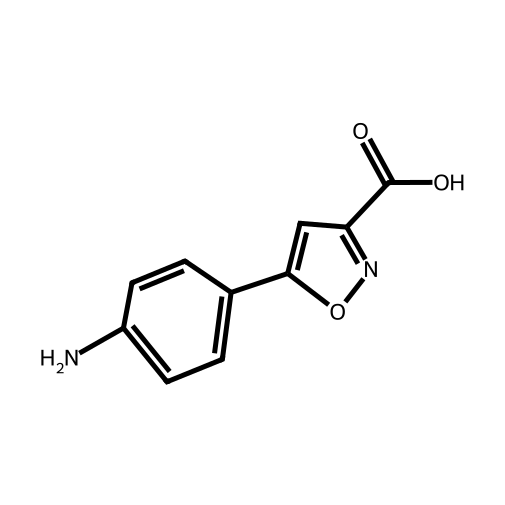 Nc1ccc(-c2cc(C(=O)O)no2)cc1